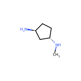 CN[C@H]1CC[C@H](N)C1